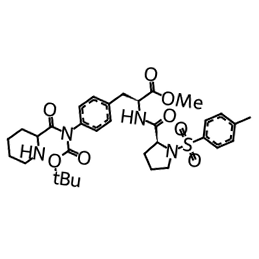 COC(=O)[C@H](Cc1ccc(N(C(=O)OC(C)(C)C)C(=O)C2CCCCN2)cc1)NC(=O)[C@@H]1CCCN1S(=O)(=O)c1ccc(C)cc1